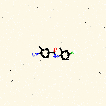 Cc1cc(C(=O)Nc2ccc(Cl)cc2C)ccc1N